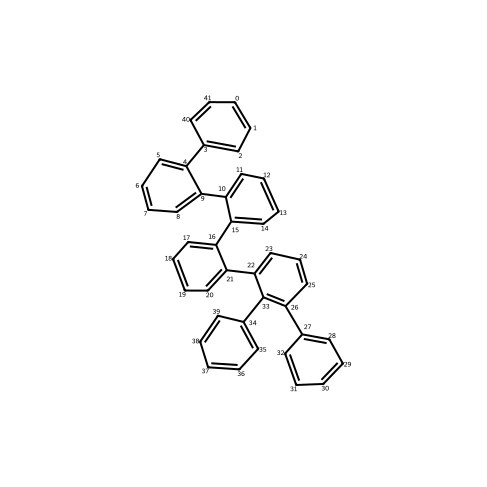 c1ccc(-c2ccccc2-c2ccccc2-c2ccccc2-c2cccc(-c3ccccc3)c2-c2ccccc2)cc1